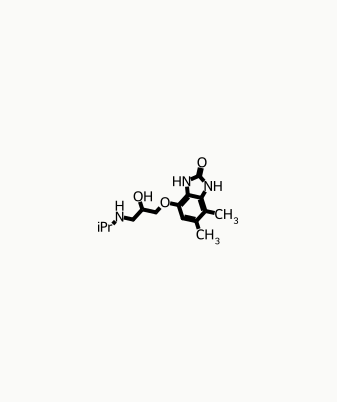 Cc1cc(OCC(O)CNC(C)C)c2[nH]c(=O)[nH]c2c1C